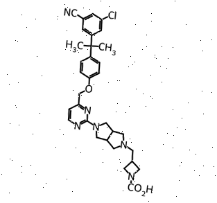 CC(C)(c1ccc(OCc2ccnc(N3CC4CN(CC5CN(C(=O)O)C5)CC4C3)n2)cc1)c1cc(Cl)cc(C#N)c1